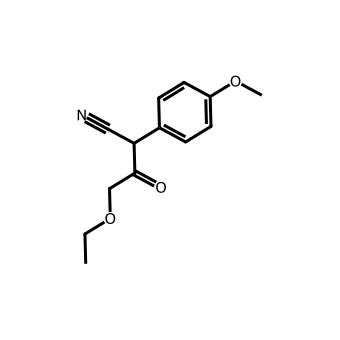 CCOCC(=O)C(C#N)c1ccc(OC)cc1